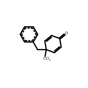 O=C1C=CC(Cc2ccccc2)(C(Cl)(Cl)Cl)C=C1